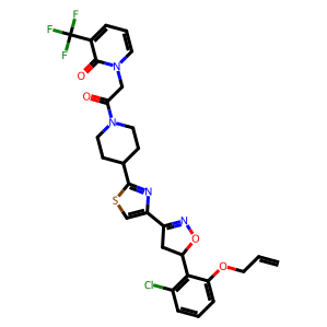 C=CCOc1cccc(Cl)c1C1CC(c2csc(C3CCN(C(=O)Cn4cccc(C(F)(F)F)c4=O)CC3)n2)=NO1